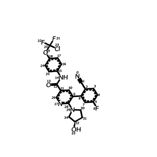 N#Cc1ccc(F)cc1-c1cc(C(=O)Nc2ccc(OC(F)(F)Cl)cc2)cnc1N1CC[C@@H](O)C1